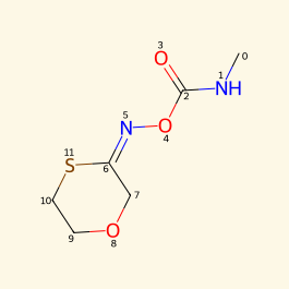 CNC(=O)ON=C1COCCS1